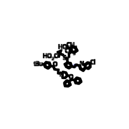 CC(C)(C)c1ccc(C(=O)CCCN2CCC(OC(c3ccccc3)c3ccccc3)CC2)cc1.CC(C)(O)c1ccccc1CC[C@@H](SCC1(CC(=O)O)CC1)c1cccc(/C=C/c2ccc3ccc(Cl)cc3n2)c1